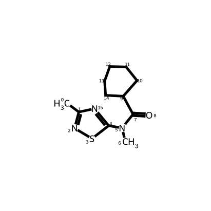 Cc1nsc(N(C)C(=O)C2CCCCC2)n1